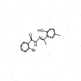 C/C(=N\NC(=O)c1ccccc1Br)c1cc(C)ccc1O